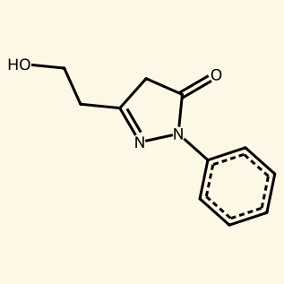 O=C1CC(CCO)=NN1c1ccccc1